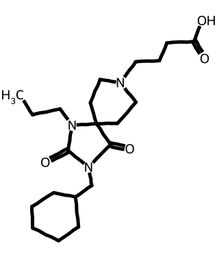 CCCN1C(=O)N(CC2CCCCC2)C(=O)C12CCN(CCCC(=O)O)CC2